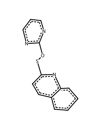 c1cnc(OSc2ccc3ccccc3n2)nc1